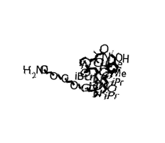 CC[C@H](C)[C@@H]([C@@H](CC(=O)N1CCC[C@H]1[C@H](OC)[C@@H](C)C(=O)N[C@H](C)[C@@H](O)c1ccccc1)OC)N(C)C(=O)[C@@H](NC(=O)[C@H](C(C)C)N(C)C(=O)COCCOCCOCCOCCON)C(C)C